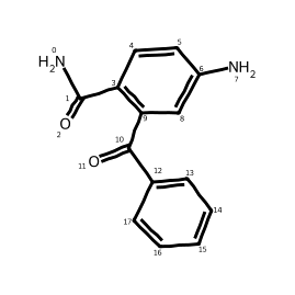 NC(=O)c1ccc(N)cc1C(=O)c1ccccc1